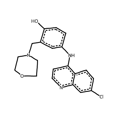 Oc1ccc(Nc2ccnc3cc(Cl)ccc23)cc1CN1CCOCC1